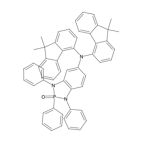 CC1(C)c2ccccc2-c2c(N(c3ccc4c(c3)N(c3ccccc3)P(=O)(c3ccccc3)N4c3ccccc3)c3cccc4c3-c3ccccc3C4(C)C)cccc21